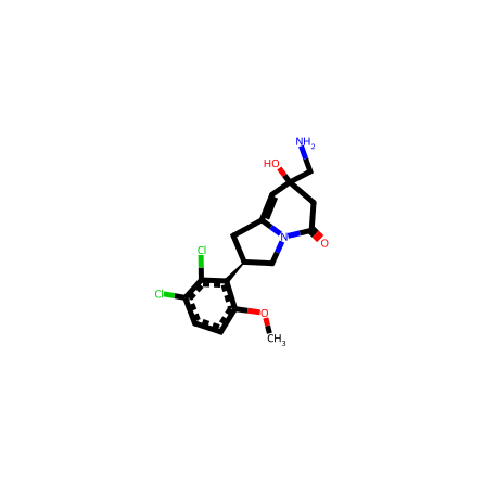 COc1ccc(Cl)c(Cl)c1[C@H]1CC2=CC(O)(CN)CC(=O)N2C1